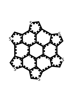 c1sc2c3csc4c5csc6c7csc8c9csc%10c%11csc%12c1c2c1c(c%11%12)c(c9%10)c(c78)c(c56)c1c34